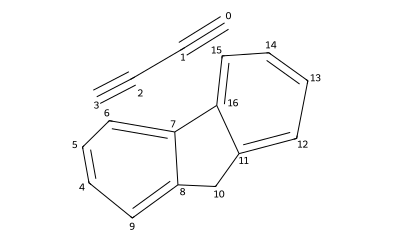 C#CC#C.c1ccc2c(c1)Cc1ccccc1-2